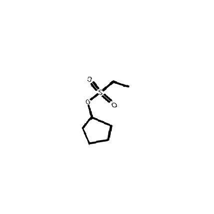 CCS(=O)(=O)OC1CCCC1